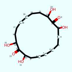 O=C1C(O)CCCCCCC(O)C(=O)C(O)CCCCCCC1O